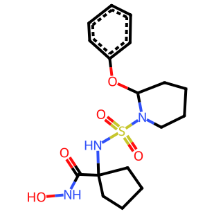 O=C(NO)C1(NS(=O)(=O)N2CCCCC2Oc2ccccc2)CCCC1